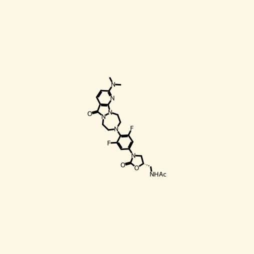 CC(=O)NC[C@H]1CN(c2cc(F)c(N3CCn4c(=O)c5ccc(N(C)C)nc5n4CC3)c(F)c2)C(=O)O1